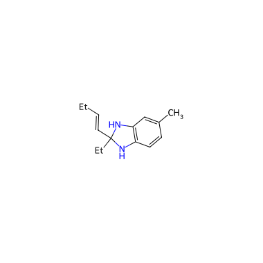 CCC=CC1(CC)Nc2ccc(C)cc2N1